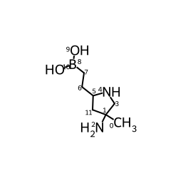 CC1(N)CNC(CCB(O)O)C1